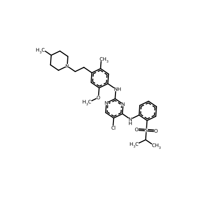 COc1cc(CCN2CCC(C)CC2)c(C)cc1Nc1ncc(Cl)c(Nc2ccccc2S(=O)(=O)C(C)C)n1